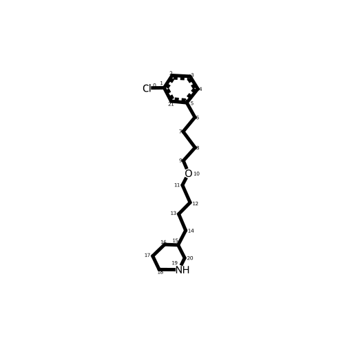 Clc1cccc(CCCCOCCCCC2C[CH]CNC2)c1